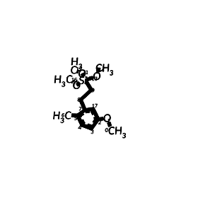 COc1ccc(C)c(CC[Si](OC)(OC)OC)c1